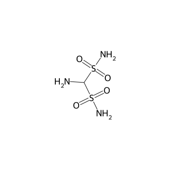 NC(S(N)(=O)=O)S(N)(=O)=O